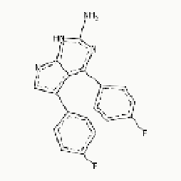 Nc1nc(-c2ccc(F)cc2)c2c(-c3ccc(F)cc3)cnc-2[nH]1